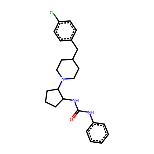 O=C(Nc1ccccc1)NC1CCCC1N1CCC(Cc2ccc(Cl)cc2)CC1